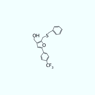 OCc1cc(-c2ccc(C(F)(F)F)cc2)oc1CSCc1ccccc1